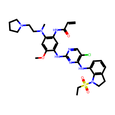 C=CC(=O)Nc1cc(Nc2ncc(Cl)c(Nc3cccc4c3N(S(=O)(=O)CC)CC4)n2)c(OC)cc1N(C)CCN1CCCC1